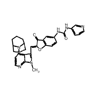 Cn1cc(C=C2Oc3ccc(NC(=O)Nc4cccnc4)cc3C2=O)c2c(N3C4CCCC3COC4)ccnc21